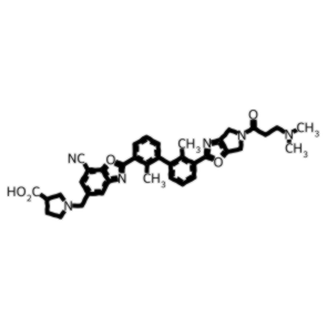 Cc1c(-c2nc3c(o2)CN(C(=O)CCN(C)C)C3)cccc1-c1cccc(-c2nc3cc(CN4CCC(C(=O)O)C4)cc(C#N)c3o2)c1C